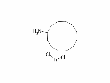 NC1CCCCCCCCCCC1.[Cl][Ti][Cl]